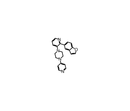 c1cnc(-c2ccc3occc3c2)c(N2CCN(c3ccncc3)CC2)c1